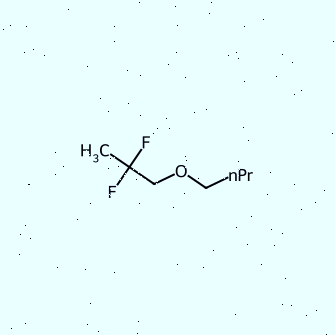 CCCCOCC(C)(F)F